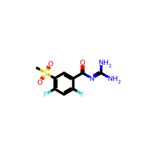 CS(=O)(=O)c1cc(C(=O)N=C(N)N)c(F)cc1F